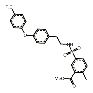 COC(=O)c1cc(S(=O)(=O)NCCc2ccc(Oc3ccc(C(F)(F)F)cc3)cc2)ccc1C